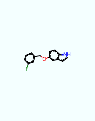 Fc1cccc(COc2ccc3[nH]ccc3c2)c1